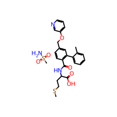 CS(N)(=O)=O.CSCCC(NC(=O)c1ccc(COc2cccnc2)cc1-c1ccccc1C)C(=O)O